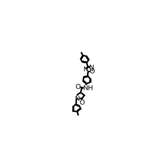 Cc1ccc(CN2CC(C(=O)Nc3ccc(-c4nc(-c5ccc(C)cc5)no4)cc3)CC2=O)cc1